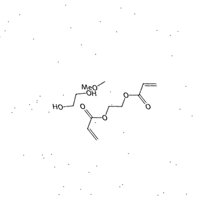 C=CC(=O)OCCOC(=O)C=C.COC.OCCO